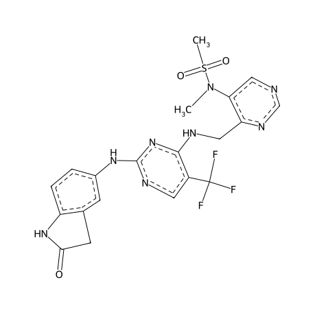 CN(c1cncnc1CNc1nc(Nc2ccc3c(c2)CC(=O)N3)ncc1C(F)(F)F)S(C)(=O)=O